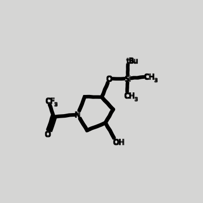 CC(C)(C)[Si](C)(C)OC1CC(O)CN(C(=O)C(F)(F)F)C1